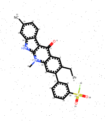 CC(C)Cc1cc2c(=O)c3c4ccc(C#N)cc4[nH]c3n(C)c2cc1-c1cccc(S(=O)(=O)F)c1